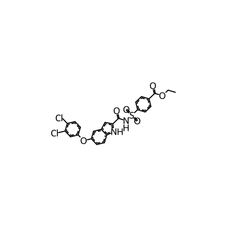 CCOC(=O)c1ccc(S(=O)(=O)NC(=O)c2cc3cc(Oc4ccc(Cl)c(Cl)c4)ccc3[nH]2)cc1